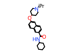 CC(C)N1CCC(Oc2ccc3cc(C(=O)NC4CCCCC4)ccc3c2)CC1